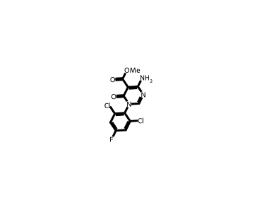 COC(=O)c1c(N)ncn(-c2c(Cl)cc(F)cc2Cl)c1=O